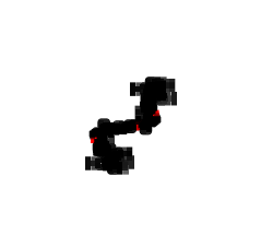 O=C(NCCOCCOCCNC(=O)c1cccc(-c2cccc(OC3OC(CO)C(O)C(O)C3O)c2)c1)c1cccc(-c2ccc(OC3OC(CO)C(O)C(O)C3O)cc2)c1